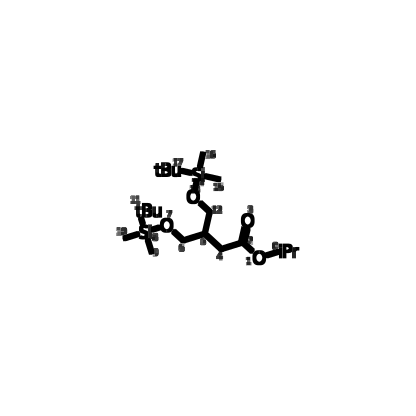 CC(C)OC(=O)CC(CO[Si](C)(C)C(C)(C)C)CO[Si](C)(C)C(C)(C)C